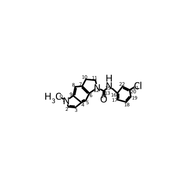 Cn1ccc2cc3c(cc21)CCN3C(=O)Nc1cccc(Cl)c1